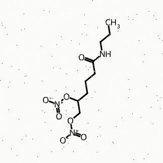 CCCNC(=O)CCCC(CO[N+](=O)[O-])O[N+](=O)[O-]